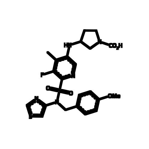 COc1ccc(CN(c2cscn2)S(=O)(=O)c2ncc(NC3CCN(C(=O)O)C3)c(C)c2F)cc1